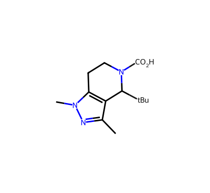 Cc1nn(C)c2c1C(C(C)(C)C)N(C(=O)O)CC2